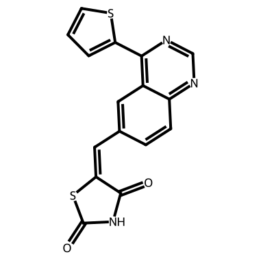 O=C1NC(=O)/C(=C\c2ccc3ncnc(-c4cccs4)c3c2)S1